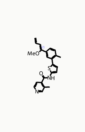 C=C/C=C(\OC)c1ccc(C)c(-c2ccc(NC(=O)c3ccncc3C)s2)c1